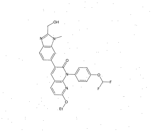 CCOc1ccc2cc(-c3ccc4nc(CO)n(C)c4c3)c(=O)n(-c3ccc(OC(F)F)cc3)c2n1